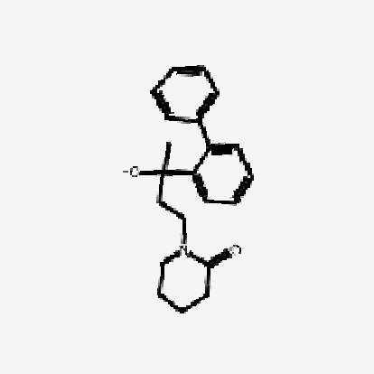 CC(O)(CCN1CCCCC1=O)c1ccccc1-c1ccccc1